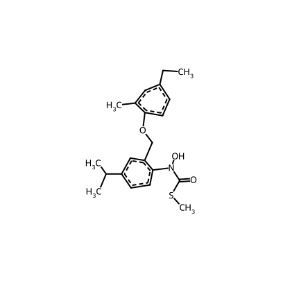 CCc1ccc(OCc2cc(C(C)C)ccc2N(O)C(=O)SC)c(C)c1